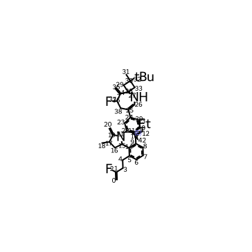 C=C(F)CCc1cccc(/C(C)=C/CC)c1C1CC(C)C(=C)N1c1cc(C2=CNC3(CC(C)(C(C)(C)C)C3)C(=C)C(F)C2)ccc1C